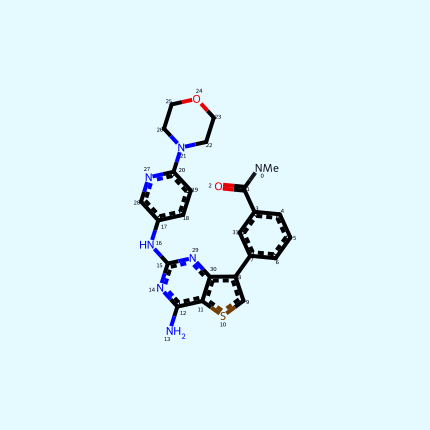 CNC(=O)c1cccc(-c2csc3c(N)nc(Nc4ccc(N5CCOCC5)nc4)nc23)c1